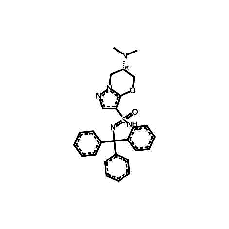 CN(C)[C@@H]1COc2c(S(N)(=O)=NC(c3ccccc3)(c3ccccc3)c3ccccc3)cnn2C1